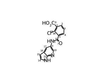 O=C(O)c1cccc(C(=O)Nc2cnc3[nH]ccc3c2)c1Cl